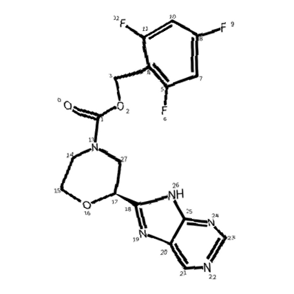 O=C(OCc1c(F)cc(F)cc1F)N1CCO[C@H](c2nc3cncnc3[nH]2)C1